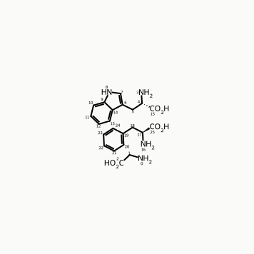 NCC(=O)O.N[C@@H](Cc1c[nH]c2ccccc12)C(=O)O.N[C@@H](Cc1ccccc1)C(=O)O